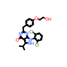 CC(C)c1[nH]n(-c2c(Cl)cccc2Cl)c2nc(Cc3ccc(OCCO)cc3)nc(=O)c1-2